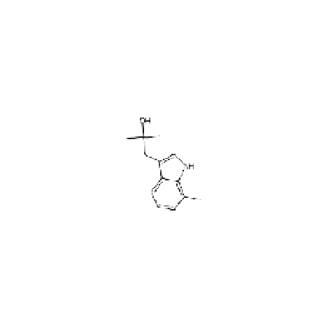 Cc1cccc2c(CC(C)(C)O)c[nH]c12